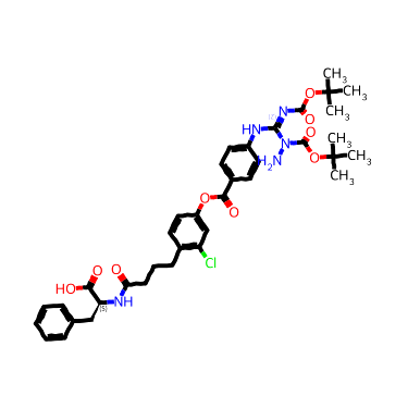 CC(C)(C)OC(=O)/N=C(/Nc1ccc(C(=O)Oc2ccc(CCCC(=O)N[C@@H](Cc3ccccc3)C(=O)O)c(Cl)c2)cc1)N(N)C(=O)OC(C)(C)C